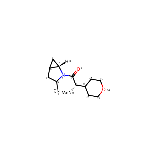 CN[C@H](C(=O)N1C(C#N)CC2C[C@@H]21)C1CCOCC1